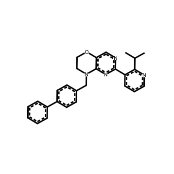 CC(C)c1ncccc1-c1ncc2c(n1)N(Cc1ccc(-c3ccccc3)cc1)CCO2